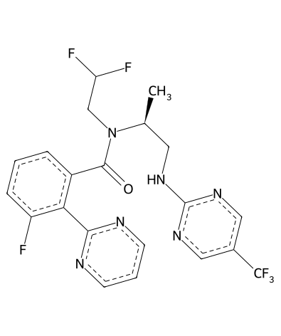 C[C@@H](CNc1ncc(C(F)(F)F)cn1)N(CC(F)F)C(=O)c1cccc(F)c1-c1ncccn1